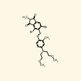 COCCN(CCOC)c1ccc(N=Nc2c(Br)cc3c(c2Br)C(=O)N(C)C3=O)c(C)c1